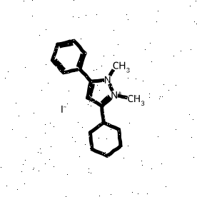 Cn1c(-c2ccccc2)cc(C2CCCCC2)[n+]1C.[I-]